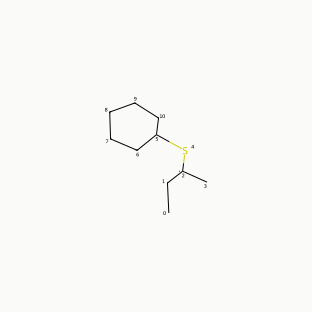 CC[C](C)SC1CCCCC1